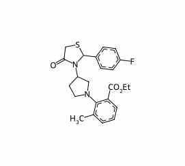 CCOC(=O)c1cccc(C)c1N1CCC(N2C(=O)CSC2c2ccc(F)cc2)C1